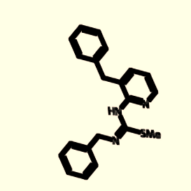 CSC(=NCc1ccccc1)Nc1ncccc1Cc1ccccc1